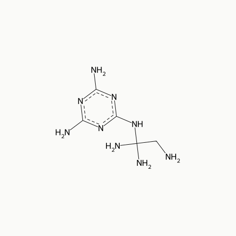 NCC(N)(N)Nc1nc(N)nc(N)n1